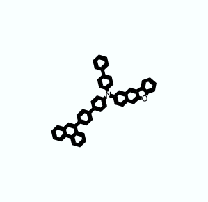 c1ccc(-c2ccc(N(c3ccc(-c4ccc(-c5cc6ccccc6c6ccccc56)cc4)cc3)c3ccc4cc5oc6ccccc6c5cc4c3)cc2)cc1